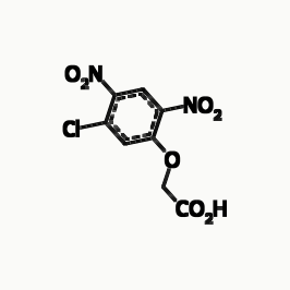 O=C(O)COc1cc(Cl)c([N+](=O)[O-])cc1[N+](=O)[O-]